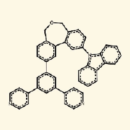 c1ccc2c(c1)c1ccccc1n2-c1ccc2c(c1)-c1cc(-c3cc(-c4ccncc4)cc(-c4ccncc4)c3)ccc1COC2